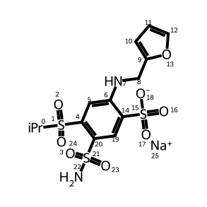 CC(C)S(=O)(=O)c1cc(NCc2ccco2)c(S(=O)(=O)[O-])cc1S(N)(=O)=O.[Na+]